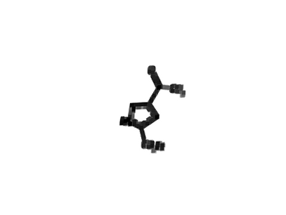 CCOC(=O)c1cc(C(=O)C(Cl)(Cl)Cl)c[nH]1